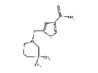 CC1(C)CCCN(Cc2nc(C(N)=O)cs2)C1